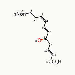 CCCCCCCCCCC/C=C\C=C\C(=O)CC=CC(=O)O